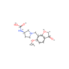 COc1ccc2c(c1CN1CC[C@@H](NC(=O)O)C1)OCC2=O